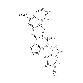 Nc1nc2ccc(C(=O)N(c3cnsc3)[C@@H]3CCc4cc(C(F)(F)F)ccc43)cc2c2cnccc12